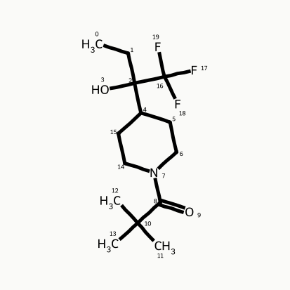 CCC(O)(C1CCN(C(=O)C(C)(C)C)CC1)C(F)(F)F